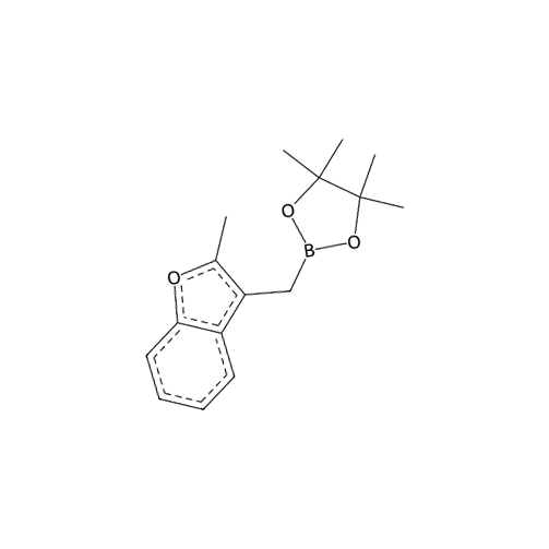 Cc1oc2ccccc2c1CB1OC(C)(C)C(C)(C)O1